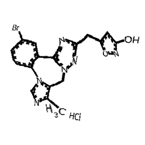 Cc1ncn2c1Cn1nc(Cc3cc(O)no3)nc1-c1cc(Br)ccc1-2.Cl